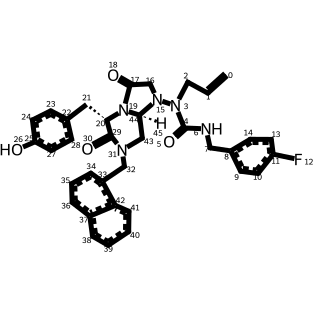 C=CCN(C(=O)NCc1ccc(F)cc1)N1CC(=O)N2[C@@H](Cc3ccc(O)cc3)C(=O)N(Cc3cccc4ccccc34)C[C@@H]21